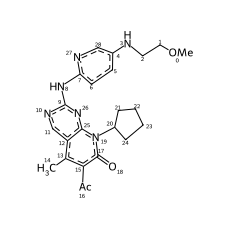 COCCNc1ccc(Nc2ncc3c(C)c(C(C)=O)c(=O)n(C4CCCC4)c3n2)nc1